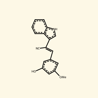 COc1cc(O)cc(/C=C(\C#N)c2c[nH]c3ccccc23)c1